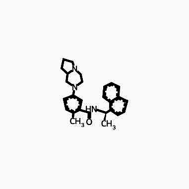 Cc1ccc(N2CCN3CCCC3C2)cc1C(=O)N[C@H](C)c1cccc2ccccc12